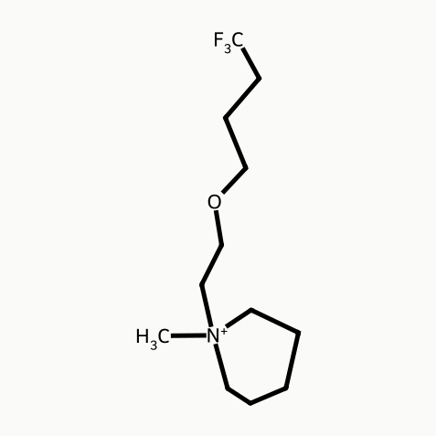 C[N+]1(CCOCCCC(F)(F)F)CCCCC1